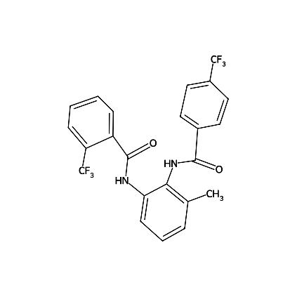 Cc1cccc(NC(=O)c2ccccc2C(F)(F)F)c1NC(=O)c1ccc(C(F)(F)F)cc1